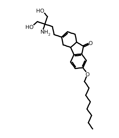 CCCCCCCCOc1ccc2c(c1)C(=O)C1CC=C(CCC(N)(CO)CO)CC21